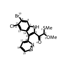 COC(SC)C(=O)c1[nH]c2cc(Br)c(Cl)cc2c1-c1cccnn1